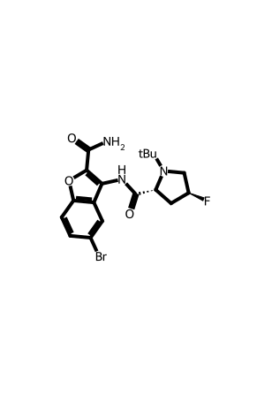 CC(C)(C)N1C[C@@H](F)C[C@@H]1C(=O)Nc1c(C(N)=O)oc2ccc(Br)cc12